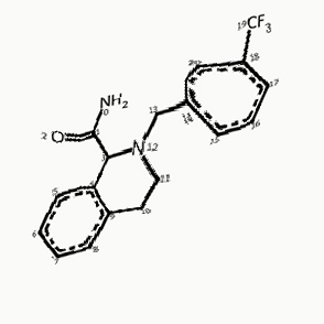 NC(=O)C1c2cc[c]cc2CCN1Cc1cccc(C(F)(F)F)c1